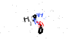 Cc1ccc(N)cc1N=NOC(=O)c1ccccc1